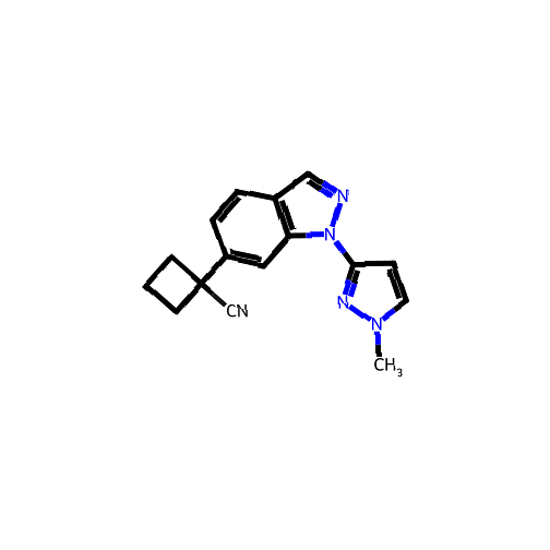 Cn1ccc(-n2ncc3ccc(C4(C#N)CCC4)cc32)n1